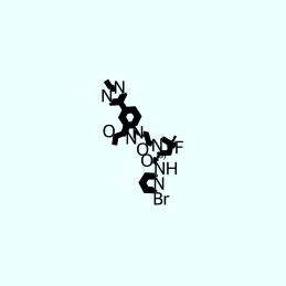 CC(=O)c1nn(CC(=O)N2C[C@](C)(F)C[C@H]2C(=O)Nc2cccc(Br)n2)c2ccc(-c3cnc(C)nc3)cc12